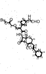 CC(C)(C)OC(=O)CON=C(C(=O)NC1C(=O)N2C(C(=O)O)=C(C=Cc3ccccn3)CS[C@@H]12)c1csc(NC=O)n1